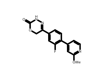 COc1cc(-c2ccc(C3=NNC(=O)OC3)cc2F)ccn1